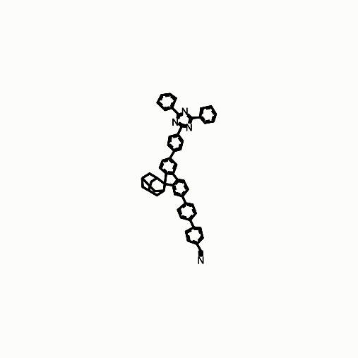 N#Cc1ccc(-c2ccc(-c3ccc4c(c3)C3(c5ccc(-c6ccc(-c7nc(-c8ccccc8)nc(-c8ccccc8)n7)cc6)cc5-4)C4CC5CC(C4)CC3C5)cc2)cc1